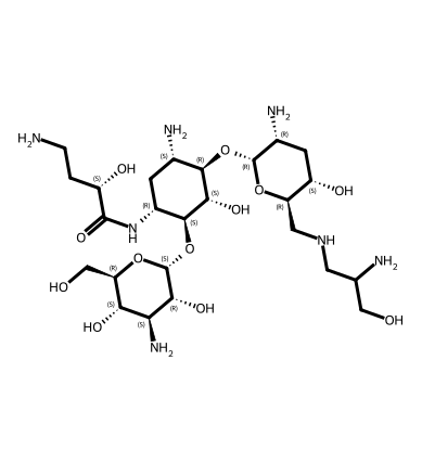 NCC[C@H](O)C(=O)N[C@@H]1C[C@H](N)[C@@H](O[C@H]2O[C@H](CNCC(N)CO)[C@@H](O)C[C@H]2N)[C@H](O)[C@H]1O[C@H]1O[C@H](CO)[C@@H](O)[C@H](N)[C@H]1O